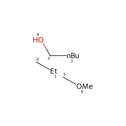 CCC.CCCCCO.COC